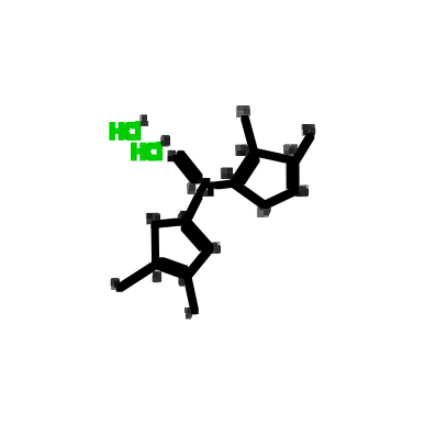 Cl.Cl.[CH2]=[Zr]([C]1=CC(C)=C(C)C1)[C]1=C(C)C(C)=CC1